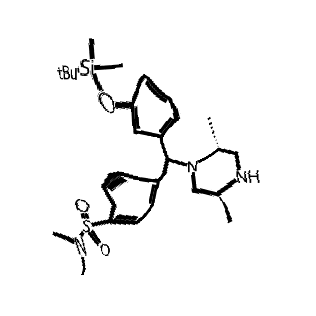 C[C@@H]1CN[C@@H](C)CN1C(c1ccc(S(=O)(=O)N(C)C)cc1)c1cccc(O[Si](C)(C)C(C)(C)C)c1